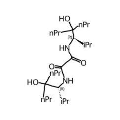 CCCC(O)(CCC)[C@H](NC(=O)C(=O)N[C@H](C(C)C)C(O)(CCC)CCC)C(C)C